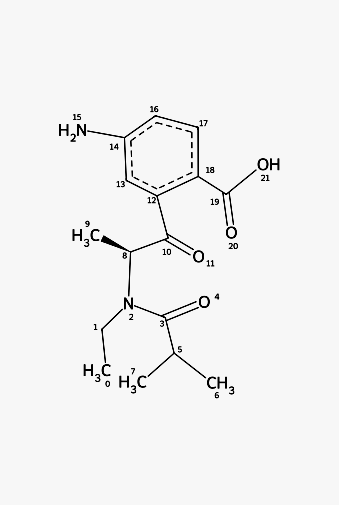 CCN(C(=O)C(C)C)[C@@H](C)C(=O)c1cc(N)ccc1C(=O)O